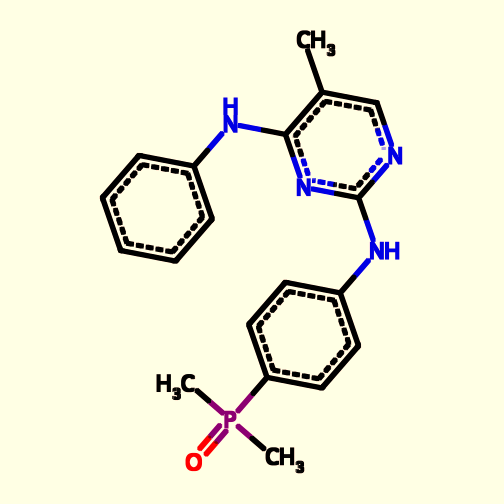 Cc1cnc(Nc2ccc(P(C)(C)=O)cc2)nc1Nc1ccccc1